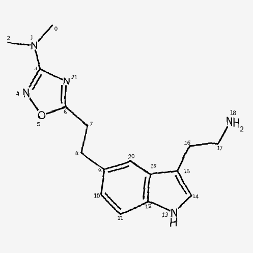 CN(C)c1noc(CCc2ccc3[nH]cc(CCN)c3c2)n1